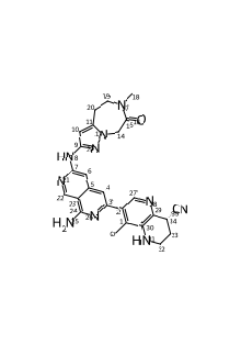 Cc1c(-c2cc3cc(Nc4cc5n(n4)CC(=O)N(C)CC5)ncc3c(N)n2)cnc2c1NCC[C@H]2C#N